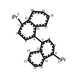 CC(C)c1ccc(-c2ccc(C(C)C)c3ccccc23)c2ccccc12